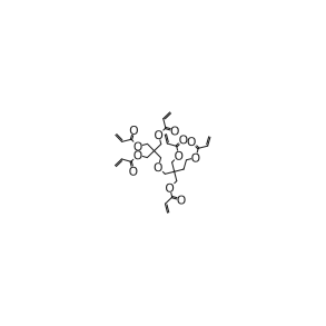 C=CC(=O)OCCC(COCC(COC(=O)C=C)(COC(=O)C=C)COC(=O)C=C)(COC(=O)C=C)COC(=O)C=C